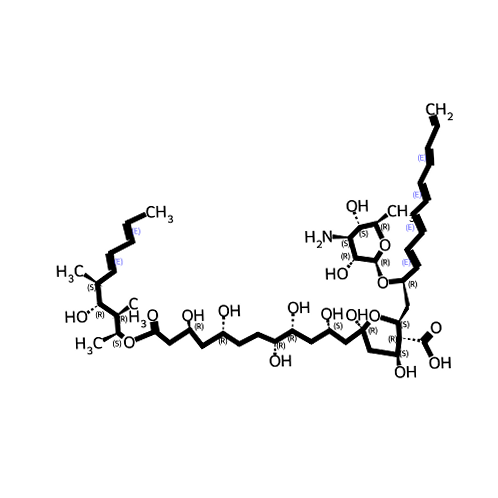 C=C/C=C/C=C/C=C/C=C/[C@@H](C[C@@H]1O[C@](O)(C[C@@H](O)C[C@@H](O)[C@H](O)CC[C@@H](O)C[C@@H](O)CC(=O)O[C@@H](C)[C@H](C)[C@H](O)[C@@H](C)/C=C/C=C/C)C[C@H](O)[C@H]1C(=O)O)O[C@@H]1O[C@H](C)[C@@H](O)[C@H](N)[C@H]1O